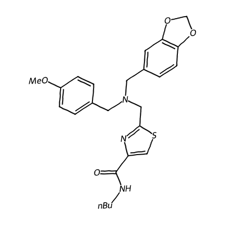 CCCCNC(=O)c1csc(CN(Cc2ccc(OC)cc2)Cc2ccc3c(c2)OCO3)n1